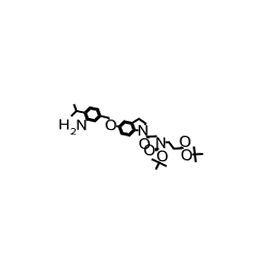 CC(C)c1ccc(COc2ccc3c(c2)CCN3C(=O)CN(CCC(=O)OC(C)(C)C)C(=O)OC(C)(C)C)cc1N